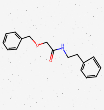 O=C(COCc1ccccc1)NCCc1ccccc1